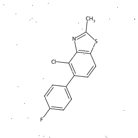 Cc1nc2c(Cl)c(-c3ccc(F)cc3)ccc2s1